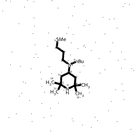 CCCCN(CCCSC)C1CC(C)(C)NC(C)(C)C1